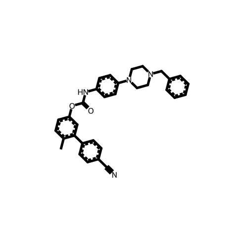 Cc1ccc(OC(=O)Nc2ccc(N3CCN(Cc4ccccc4)CC3)cc2)cc1-c1ccc(C#N)cc1